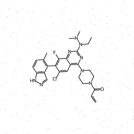 C=CC(=O)N1CCN(c2nc(N(CC)N(C)C)nc3c(F)c(-c4c(C)ccc5[nH]ncc45)c(Cl)cc23)CC1